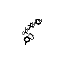 Cc1ccc2c(c1)OCCN2C(=O)N(C)CC1(C)CN(c2ccncc2)C1